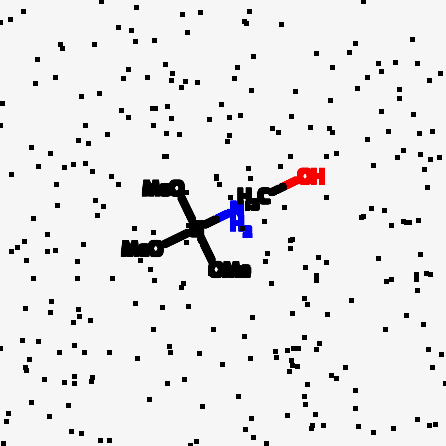 CO.CO[Si](N)(OC)OC